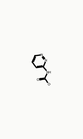 [O]C(=O)Nc1cccnn1